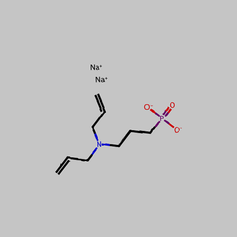 C=CCN(CC=C)CCCP(=O)([O-])[O-].[Na+].[Na+]